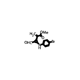 C=C(C(=O)OC)C1C(C=O)C1Nc1ccc(Br)cc1